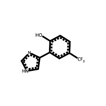 Oc1ccc(C(F)(F)F)cc1-c1c[nH]cn1